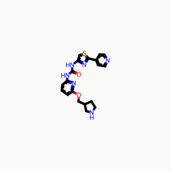 O=C(Nc1cccc(OCC2CCNC2)n1)Nc1csc(-c2ccncc2)n1